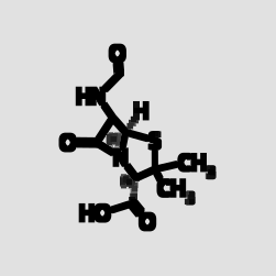 CC1(C)S[C@@H]2C(NC=O)C(=O)N2[C@H]1C(=O)O